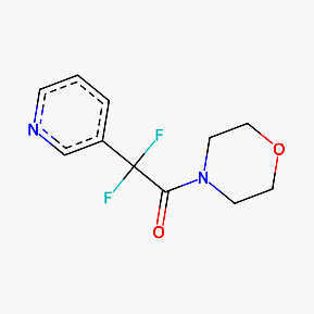 O=C(N1CCOCC1)C(F)(F)c1cccnc1